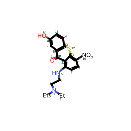 CCN(CC)CCNc1ccc([N+](=O)[O-])c2sc3ccc(O)cc3c(=O)c12